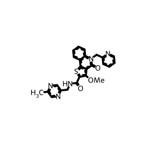 COc1c(C(=O)NCc2cnc(C)cn2)sc2c1c(=O)n(Cc1ccccn1)c1ccccc21